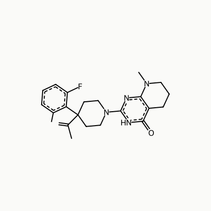 C=C(C)C1(c2c(C)cccc2F)CCN(c2nc3c(c(=O)[nH]2)CCCN3C)CC1